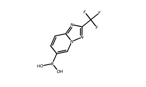 OB(O)c1ccc2nc(C(F)(F)F)nn2c1